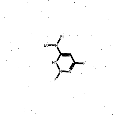 CCN(CC)C1=CC(F)=NN(F)N1